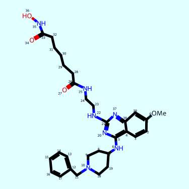 COc1ccc2c(NC3CCN(Cc4ccccc4)CC3)nc(NCCNC(=O)CCCCCC(=O)NO)nc2c1